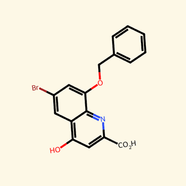 O=C(O)c1cc(O)c2cc(Br)cc(OCc3ccccc3)c2n1